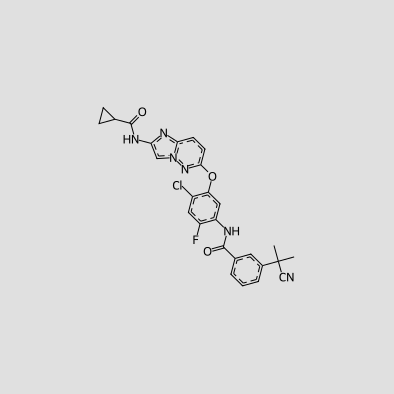 CC(C)(C#N)c1cccc(C(=O)Nc2cc(Oc3ccc4nc(NC(=O)C5CC5)cn4n3)c(Cl)cc2F)c1